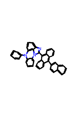 c1ccc(N2c3ccccc3-n3c(-c4c5ccccc5c(-c5ccc6ccccc6c5)c5ccccc45)nc4cccc2c43)cc1